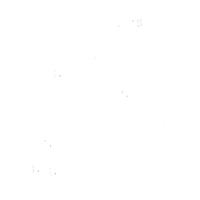 O=C([C@@H]1NCCC1c1c[nH]c2ccc(-n3cnnc3)cc12)C1(CCc2ccccc2)CCNCC1